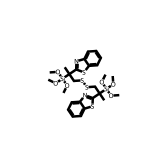 CO[Si](OC)(OC)C(C)(CSSCC(C)(c1nc2ccccc2s1)[Si](OC)(OC)OC)c1nc2ccccc2s1